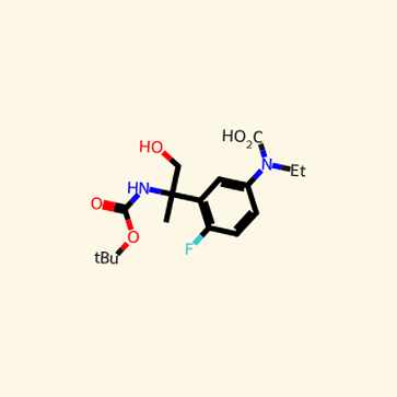 CCN(C(=O)O)c1ccc(F)c(C(C)(CO)NC(=O)OC(C)(C)C)c1